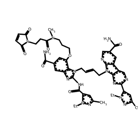 CCn1nc(C)cc1C(=O)Nc1nc2cc(C(N)=O)cc(OCCCN(C)C(=O)CCN3C(=O)C=CC3=O)c2n1C/C=C/Cn1c2ncc(C(N)=O)cc2c2cnc(-c3cc(C)nn3CC)nc21